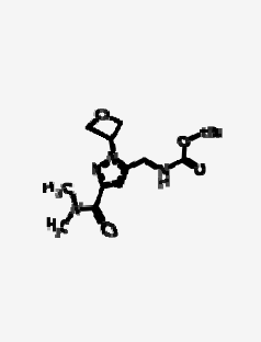 CN(C)C(=O)c1cc(CNC(=O)OC(C)(C)C)n(C2COC2)n1